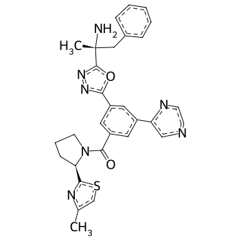 Cc1csc([C@H]2CCCN2C(=O)c2cc(-c3cnccn3)cc(-c3nnc([C@](C)(N)Cc4ccccc4)o3)c2)n1